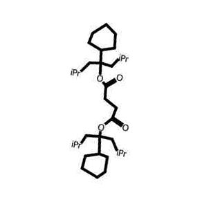 CC(C)CC(CC(C)C)(OC(=O)CCC(=O)OC(CC(C)C)(CC(C)C)C1CCCCC1)C1CCCCC1